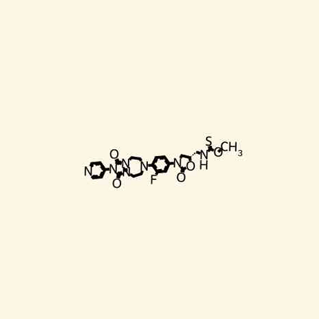 COC(=S)NC[C@H]1CN(c2ccc(N3CCn4c(=O)n(-c5ccncc5)c(=O)n4CC3)c(F)c2)C(=O)O1